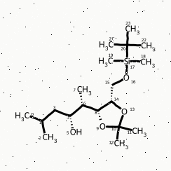 CC(C)C[C@@H](O)[C@H](C)[C@H]1OC(C)(C)O[C@H]1CO[Si](C)(C)C(C)(C)C